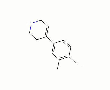 Cc1cc(C2=CCNCC2)ccc1[N+](=O)[O-]